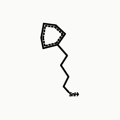 [SnH][CH2]CCCc1ccccc1